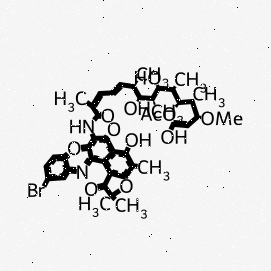 CO[C@@H](/C=C/O)[C@@H](C)[C@@H](OC(C)=O)[C@H](C)[C@H](O)[C@H](C)[C@@H](O)[C@@H](C)/C=C/C=C(/C)C(=O)Nc1c2oc3ccc(Br)cc3nc-2c2c3c(c(C)c(O)c2c1=O)OC(C)(C)C3=O